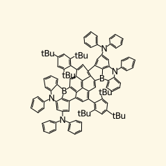 CC(C)(C)c1cc(C(C)(C)C)c(-c2cc3c4c(cc5c(-c6c(C(C)(C)C)cc(C(C)(C)C)cc6C(C)(C)C)cc6c7c(cc2c4c57)B2c4ccccc4N(c4ccccc4)c4cc(N(c5ccccc5)c5ccccc5)cc-6c42)B2c4ccccc4N(c4ccccc4)c4cc(N(c5ccccc5)c5ccccc5)cc-3c42)c(C(C)(C)C)c1